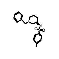 Cc1ccc(S(=O)(=O)N=C2CCCN(Cc3ccccc3)C2)cc1